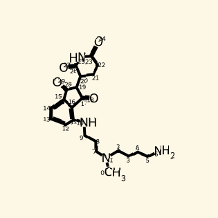 CN(CCCCN)CCCNc1cccc2c1C(=O)C(C1CCC(=O)NC1=O)C2=O